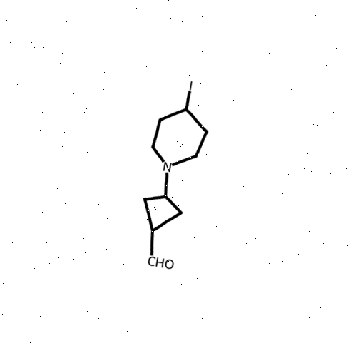 O=CC1CC(N2CCC(I)CC2)C1